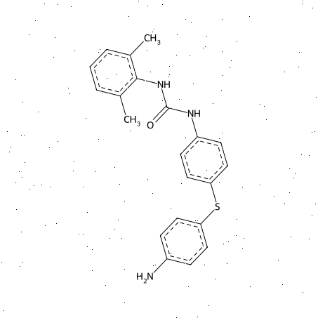 Cc1cccc(C)c1NC(=O)Nc1ccc(Sc2ccc(N)cc2)cc1